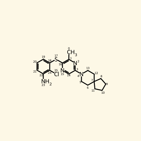 Cc1nc(N2CCC3(CCCC3)CC2)cnc1Sc1cccc(N)c1Cl